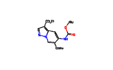 CCOC(=O)c1cnn2cc(OC)c(NC(=O)OC(C)(C)C)cc12